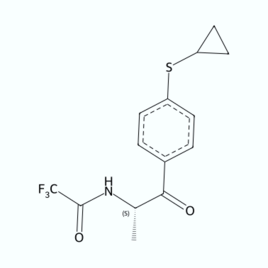 C[C@H](NC(=O)C(F)(F)F)C(=O)c1ccc(SC2CC2)cc1